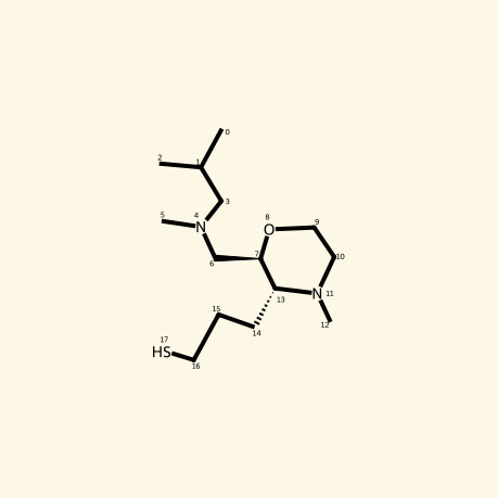 CC(C)CN(C)C[C@H]1OCCN(C)[C@@H]1CCCS